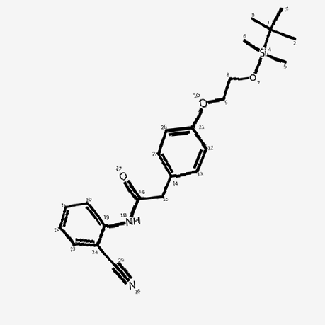 CC(C)(C)[Si](C)(C)OCCOc1ccc(CC(=O)Nc2ccccc2C#N)cc1